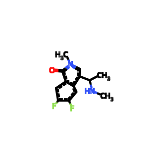 CNC(C)c1cn(C)c(=O)c2cc(F)c(F)cc12